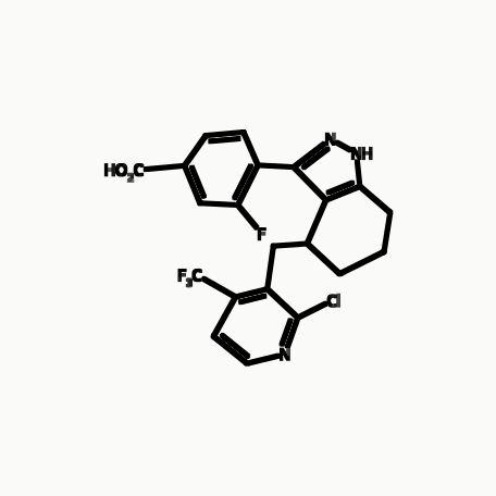 O=C(O)c1ccc(-c2n[nH]c3c2C(Cc2c(C(F)(F)F)ccnc2Cl)CCC3)c(F)c1